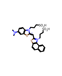 CN(C)c1ccc2c(c1)S/C(=C\c1sc3ccc4ccccc4c3[n+]1CCCS(=O)(=O)O)N2CCCS(=O)(=O)O